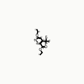 CCOC(=O)c1nnc(OCC)cc1C(F)(F)F